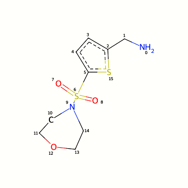 NCc1ccc(S(=O)(=O)N2CCOCC2)s1